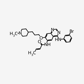 C/C=C/C(=O)Nc1cc2c(Nc3cccc(Br)c3)ncnc2cc1OCCCC1CCN(C)CC1